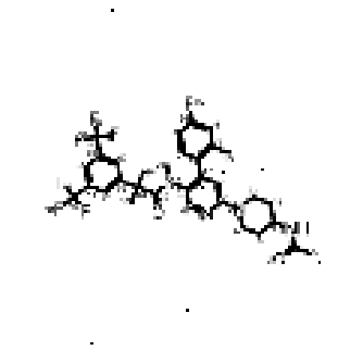 CC(=O)NC1CCN(c2cc(-c3ccc(F)cc3C)c(N(C)C(=O)C(C)(C)c3cc(C(F)(F)F)cc(C(F)(F)F)c3)cn2)CC1